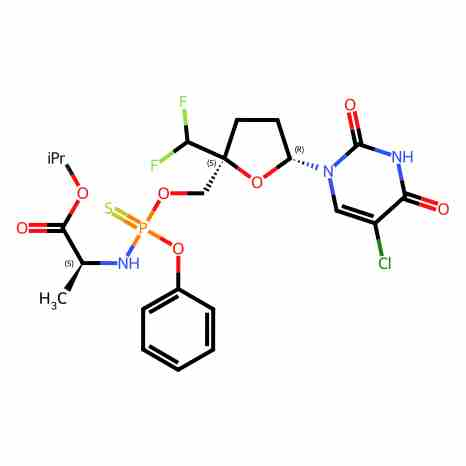 CC(C)OC(=O)[C@H](C)NP(=S)(OC[C@]1(C(F)F)CC[C@H](n2cc(Cl)c(=O)[nH]c2=O)O1)Oc1ccccc1